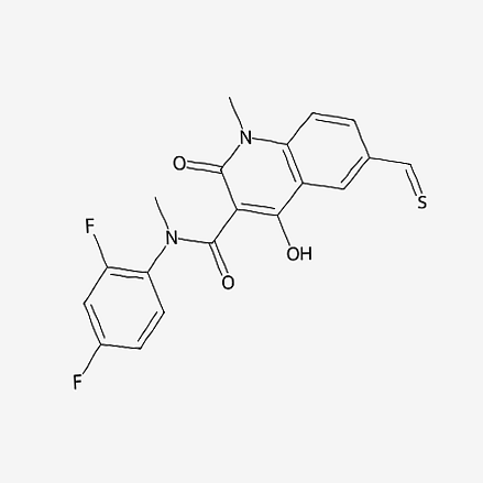 CN(C(=O)c1c(O)c2cc(C=S)ccc2n(C)c1=O)c1ccc(F)cc1F